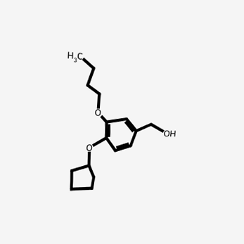 CCCCOc1cc(CO)ccc1OC1CCCC1